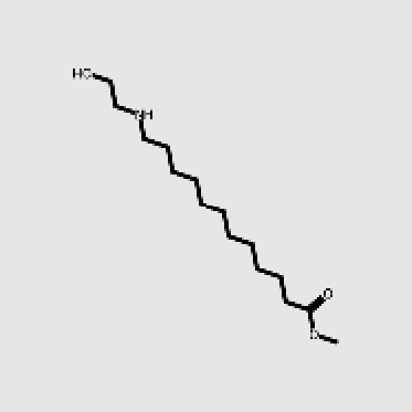 COC(=O)CCCCCCCCCCCNCCO